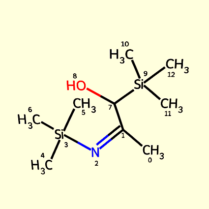 CC(=N[Si](C)(C)C)C(O)[Si](C)(C)C